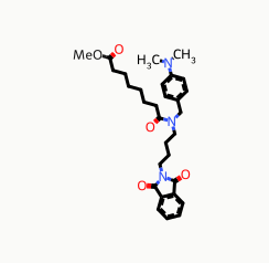 COC(=O)CCCCCCC(=O)N(CCCCN1C(=O)c2ccccc2C1=O)Cc1ccc(N(C)C)cc1